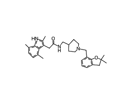 Cc1[nH]c2c(C)ccc(C)c2c1CC(=O)NCC1CCN(Cc2cccc3c2OC(C)(C)C3)CC1